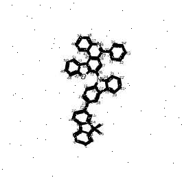 CC1(C)c2ccccc2-c2ccc(-c3ccc4c(c3)c3ccccc3n4-c3cc4c(-c5ccccc5)nc5ccccc5c4c4c3oc3ccccc34)cc21